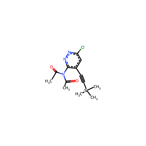 CC(=O)N(C(C)=O)c1nnc(Cl)cc1C#C[Si](C)(C)C